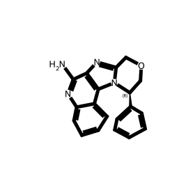 Nc1nc2ccccc2c2c1nc1n2[C@H](c2ccccc2)COC1